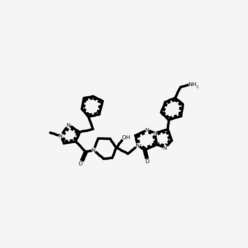 Cn1cc(C(=O)N2CCC(O)(Cn3cnn4c(-c5ccc(CN)cc5)cnc4c3=O)CC2)c(Cc2ccccc2)n1